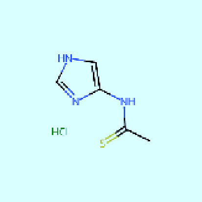 CC(=S)Nc1c[nH]cn1.Cl